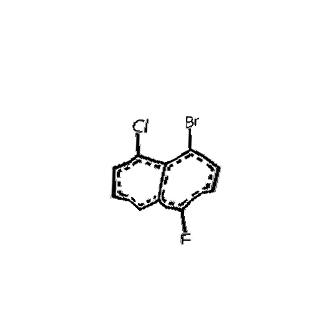 Fc1ccc(Br)c2c(Cl)cccc12